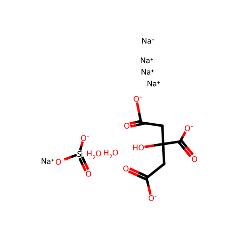 O.O.O=C([O-])CC(O)(CC(=O)[O-])C(=O)[O-].O=[Si]([O-])[O-].[Na+].[Na+].[Na+].[Na+].[Na+]